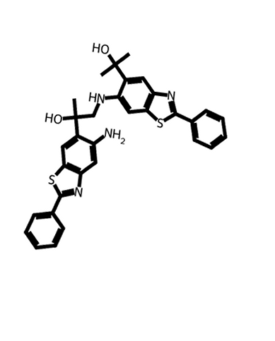 CC(C)(O)c1cc2nc(-c3ccccc3)sc2cc1NCC(C)(O)c1cc2sc(-c3ccccc3)nc2cc1N